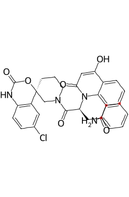 NC(=O)c1cccc2c(O)cc(=O)n([C@@H](Cc3ccccc3)C(=O)N3CCC[C@@]4(C3)OC(=O)Nc3ccc(Cl)cc34)c12